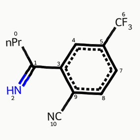 CCCC(=N)c1cc(C(F)(F)F)ccc1C#N